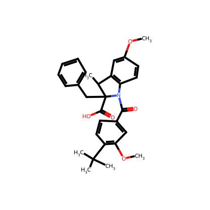 COc1ccc2c(c1)C(C)C(Cc1ccccc1)(C(=O)O)N2C(=O)c1ccc(C(C)(C)C)c(OC)c1